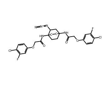 [N-]=[N+]=NC1CC2(NC(=O)COc3ccc(Cl)c(F)c3)CCC1(NC(=O)COc1ccc(Cl)c(F)c1)CC2